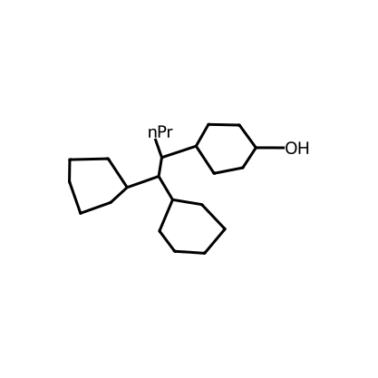 CCCC(C1CCC(O)CC1)C(C1CCCCC1)C1CCCCC1